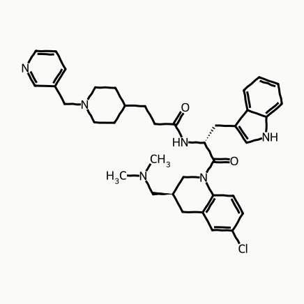 CN(C)C[C@@H]1Cc2cc(Cl)ccc2N(C(=O)[C@@H](Cc2c[nH]c3ccccc23)NC(=O)CCC2CCN(Cc3cccnc3)CC2)C1